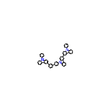 c1ccc(-n2c3ccccc3c3cc(-c4cccc(-c5ccc(-n6c7ccccc7c7cc(-c8ccc9c(c8)c8ccccc8n9-c8ccccc8)ccc76)cc5)c4)ccc32)cc1